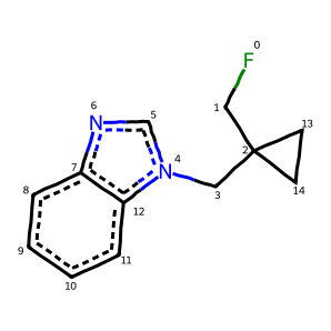 FCC1(Cn2cnc3ccccc32)CC1